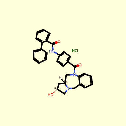 Cl.O=C(Nc1ccc(C(=O)N2C[C@H]3C[C@@H](O)CN3Cc3ccccc32)cc1)c1ccccc1-c1ccccc1